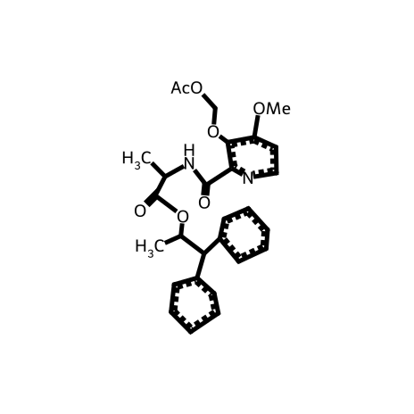 COc1ccnc(C(=O)NC(C)C(=O)OC(C)C(c2ccccc2)c2ccccc2)c1OCOC(C)=O